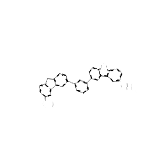 Cc1ccc2c(c1)-c1cc(-c3cccc(-c4ccc5oc6ccc(C)cc6c5c4)c3)ccc1C2